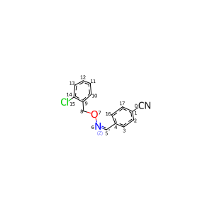 N#Cc1ccc(/[C]=N\OCc2ccccc2Cl)cc1